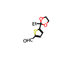 CCC1(c2ccc(C=O)s2)OCCO1